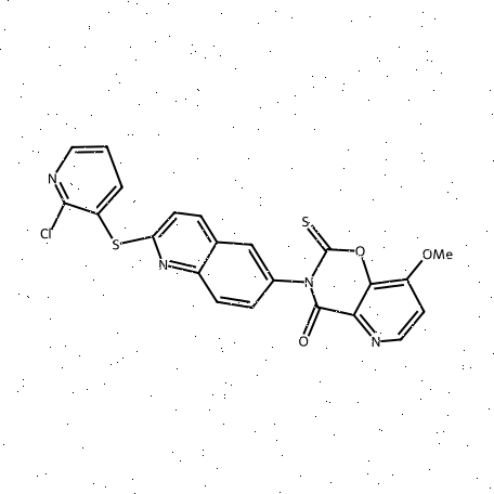 COc1ccnc2c(=O)n(-c3ccc4nc(Sc5cccnc5Cl)ccc4c3)c(=S)oc12